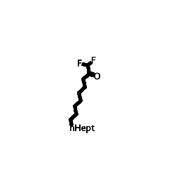 CCCCCCCCCCCCCCC(=O)C(F)F